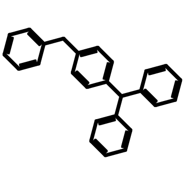 c1ccc(Cc2ccc([C](c3ccccc3)c3ccccc3)cc2)cc1